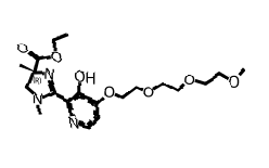 CCOC(=O)[C@@]1(C)CN(C)C(c2nccc(OCCOCCOCCOC)c2O)=N1